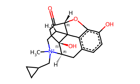 CC1C[N+](C)(CC2CC2)[C@@H]2Cc3ccc(O)c4c3C13[C@@H](O4)C(=O)CC[C@@]23O